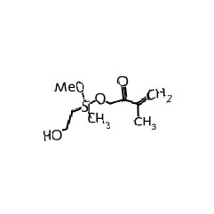 C=C(C)C(=O)CO[Si](C)(CCO)OC